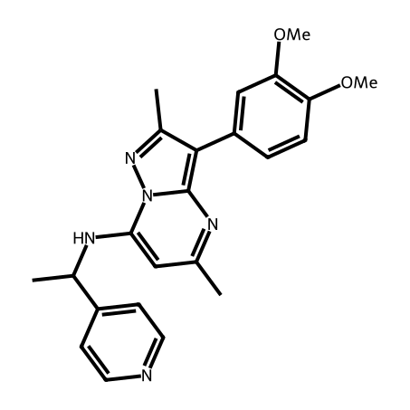 COc1ccc(-c2c(C)nn3c(NC(C)c4ccncc4)cc(C)nc23)cc1OC